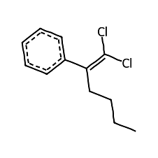 CCCCC(=C(Cl)Cl)c1ccccc1